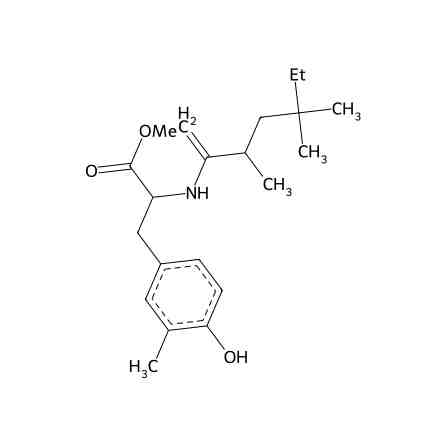 C=C(NC(Cc1ccc(O)c(C)c1)C(=O)OC)C(C)CC(C)(C)CC